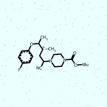 CC(Oc1ccc(F)cc1)[C@H](C)CC(C#N)N1CCN(C(=O)OC(C)(C)C)CC1